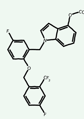 O=C(O)Oc1cccc2c1ccn2Cc1cc(F)ccc1OCc1ccc(F)cc1C(F)(F)F